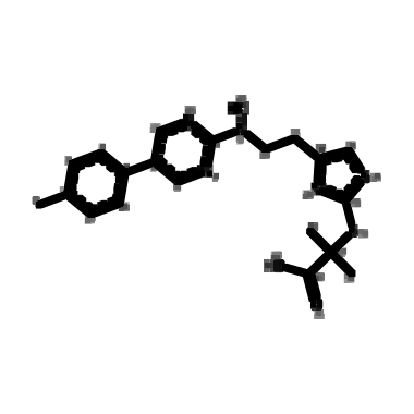 Cc1ccc(-c2cnc(NCCc3csc(SC(C)(C)C(=O)O)n3)nc2)cc1.Cl